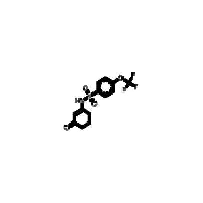 O=C1C=C(NS(=O)(=O)c2ccc(OC(F)(F)F)cc2)CCC1